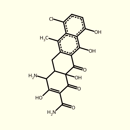 Cc1c2c(c(O)c3c(O)ccc(Cl)c13)C(=O)C1(O)C(=O)C(C(N)=O)=C(O)C(N)C1C2